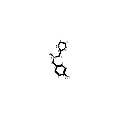 CN(Cc1c[c]c(Cl)cc1)CC1OCCO1